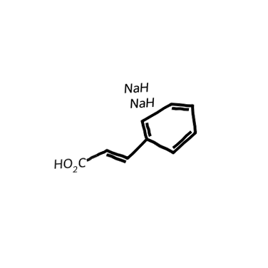 O=C(O)C=Cc1ccccc1.[NaH].[NaH]